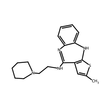 Cc1cc2c(s1)Nc1ccccc1N=C2NCCN1CCCCC1